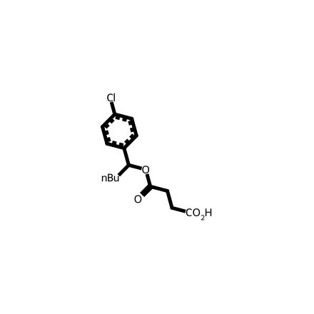 CCCCC(OC(=O)CCC(=O)O)c1ccc(Cl)cc1